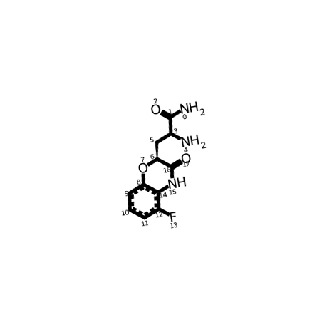 NC(=O)C(N)C[C@@H]1Oc2cccc(F)c2NC1=O